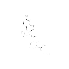 CC(C)Nc1c(NC(=O)[C@H]2CCCN(C(=O)OC(C)(C)C)C2)cnc2cc(Br)ccc12